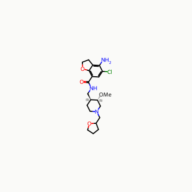 CO[C@@H]1CN(CC2CCCO2)CC[C@H]1CNC(=O)c1cc(Cl)c(N)c2c1OCC2